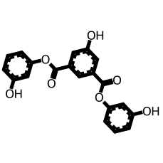 O=C(Oc1cccc(O)c1)c1cc(O)cc(C(=O)Oc2cccc(O)c2)c1